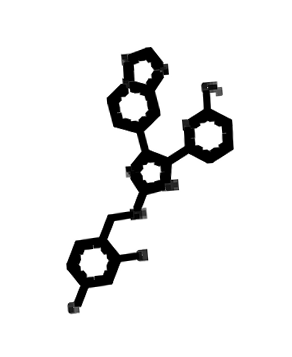 Cc1cccc(-c2[nH]c(NCc3ccc(Cl)cc3Cl)nc2-c2ccn3ncnc3c2)n1